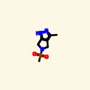 Cc1n[nH]c2c1CN(S(C)(=O)=O)C2